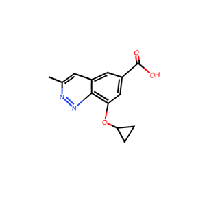 Cc1cc2cc(C(=O)O)cc(OC3CC3)c2nn1